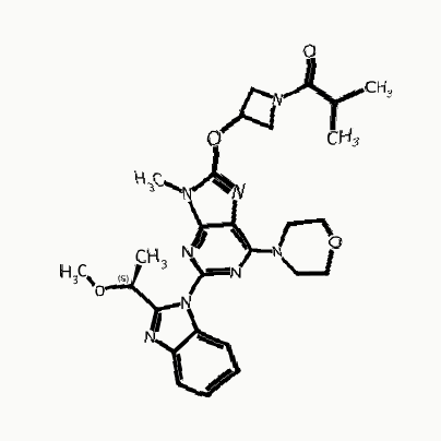 CO[C@@H](C)c1nc2ccccc2n1-c1nc(N2CCOCC2)c2nc(OC3CN(C(=O)C(C)C)C3)n(C)c2n1